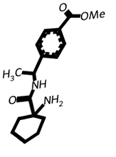 COC(=O)c1ccc(C(C)NC(=O)C2(N)CCCCC2)cc1